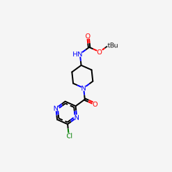 CC(C)(C)OC(=O)NC1CCN(C(=O)c2cncc(Cl)n2)CC1